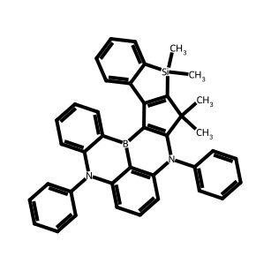 CC1(C)C2=C(B3c4ccccc4N(c4ccccc4)c4cccc(c43)N2c2ccccc2)C2=C1[Si](C)(C)c1ccccc12